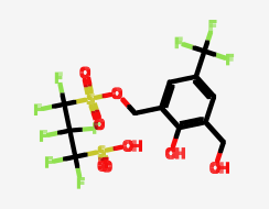 O=S(=O)(O)C(F)(F)C(F)(F)C(F)(F)S(=O)(=O)OCc1cc(C(F)(F)F)cc(CO)c1O